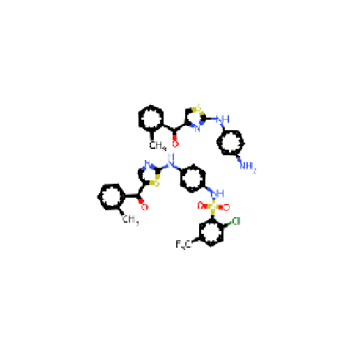 Cc1ccccc1C(=O)c1cnc(Nc2ccc(NS(=O)(=O)c3cc(C(F)(F)F)ccc3Cl)cc2)s1.Cc1ccccc1C(=O)c1csc(Nc2ccc(N)cc2)n1